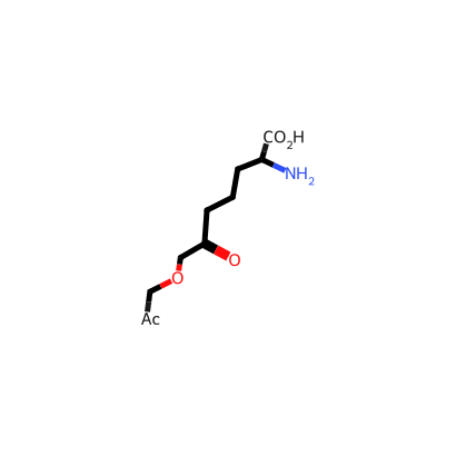 CC(=O)COCC(=O)CCCC(N)C(=O)O